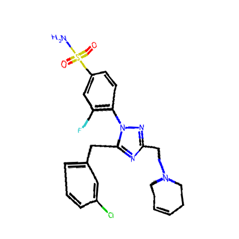 NS(=O)(=O)c1ccc(-n2nc(CN3CC=CCC3)nc2Cc2cccc(Cl)c2)c(F)c1